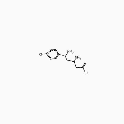 C=C(CC)CC(N)CC(N)c1ccc(Cl)cc1